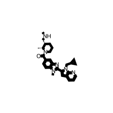 CNC[C@@H]1CCCN(C(=O)c2ccc3c(c2)nc(-c2cc4cccnc4n2CC2CC2)n3C)[C@@H]1C